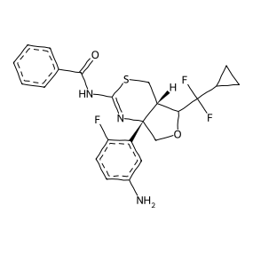 Nc1ccc(F)c([C@]23COC(C(F)(F)C4CC4)[C@H]2CSC(NC(=O)c2ccccc2)=N3)c1